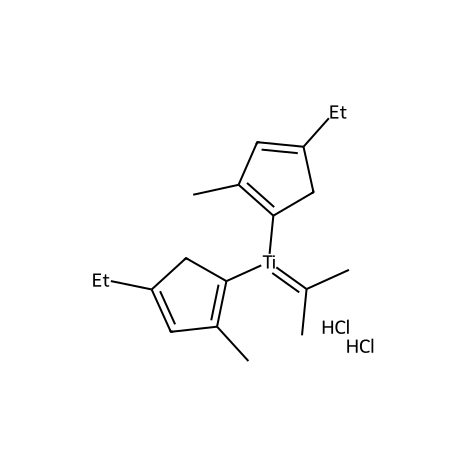 CCC1=CC(C)=[C]([Ti]([C]2=C(C)C=C(CC)C2)=[C](C)C)C1.Cl.Cl